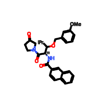 COc1cccc(COC(C(C)C)[C@H](NC(=O)c2ccc3ccccc3c2)C(=O)N2CCC(=O)C2)c1